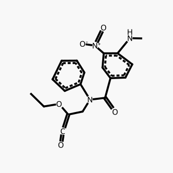 CCOC(=C=O)CN(C(=O)c1ccc(NC)c([N+](=O)[O-])c1)c1ccccc1